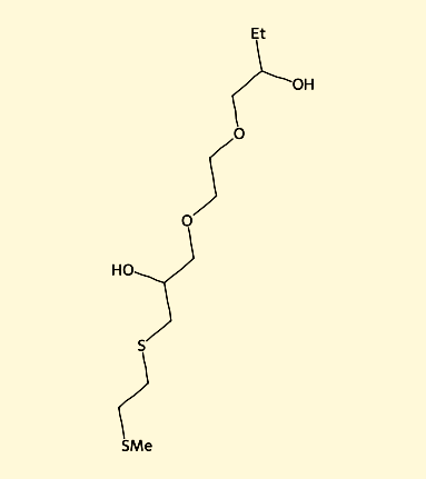 CCC(O)COCCOCC(O)CSCCSC